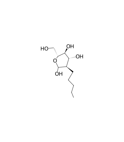 CCCCC[C@H]1C(O)O[C@H](CO)[C@@H](O)[C@@H]1O